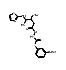 COc1cccc(NC(=S)NNC(=O)CC(C=O)C(S)Nc2nccs2)c1